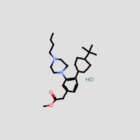 CCCCN1CCN(c2cc(CC(=O)OC)ccc2C2CCC(C(C)(C)C)CC2)CC1.Cl